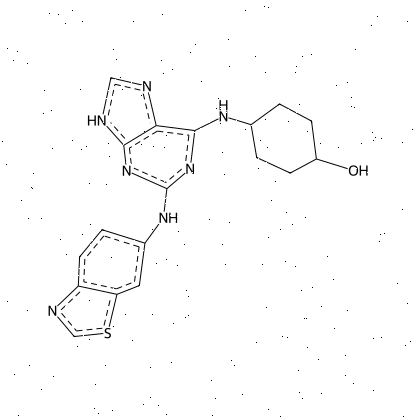 OC1CCC(Nc2nc(Nc3ccc4ncsc4c3)nc3[nH]cnc23)CC1